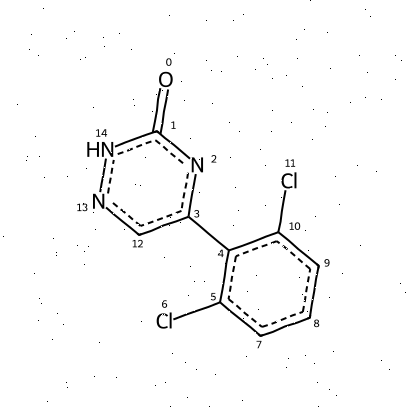 O=c1nc(-c2c(Cl)cccc2Cl)cn[nH]1